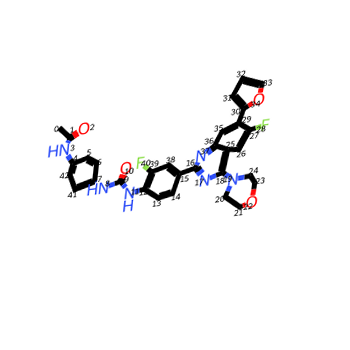 CC(=O)Nc1ccc(NC(=O)Nc2ccc(-c3nc(N4CCOCC4)c4cc(F)c(-c5ccco5)cc4n3)cc2F)cc1